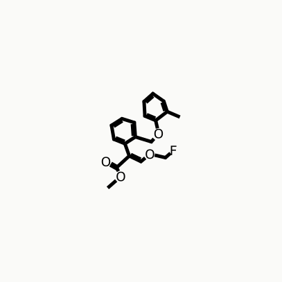 COC(=O)/C(=C/OCF)c1ccccc1COc1ccccc1C